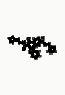 O=C(NCCN1CCCC1)c1c(=O)c2ccc(NCCN3CCCC3)nc2n2c1sc1ccccc12